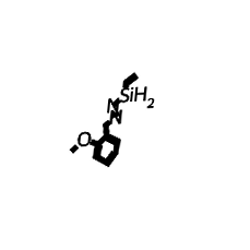 C=C[SiH2]N=NCc1ccccc1OC